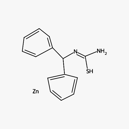 NC(S)=NC(c1ccccc1)c1ccccc1.[Zn]